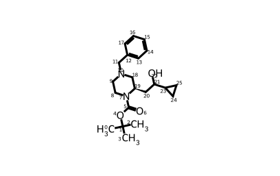 CC(C)(C)OC(=O)N1CCN(Cc2ccccc2)C[C@H]1CC(O)C1CC1